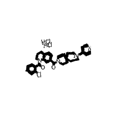 Cl.Cl.O=C(c1ccc2c(c1)N(C(=O)c1ccccc1Cl)CCC2)N1CCC2(CC1)CCN(c1ccncc1)CC2